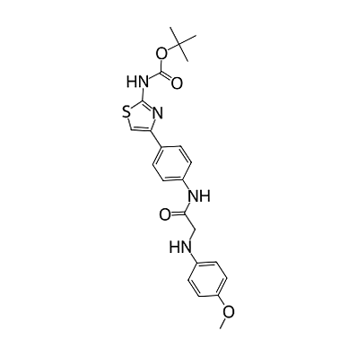 COc1ccc(NCC(=O)Nc2ccc(-c3csc(NC(=O)OC(C)(C)C)n3)cc2)cc1